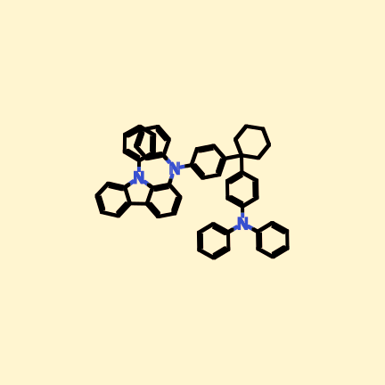 c1ccc(N(c2ccccc2)c2ccc(C3(c4ccc(N(c5ccccc5)c5cccc6c7ccccc7n(-c7ccccc7)c56)cc4)CCCCC3)cc2)cc1